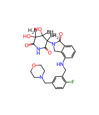 BC1(O)C(=O)NC(=O)C(B)(N2Cc3c(NCc4cc(CN5CCOCC5)ccc4F)cccc3C2=O)C1(B)O